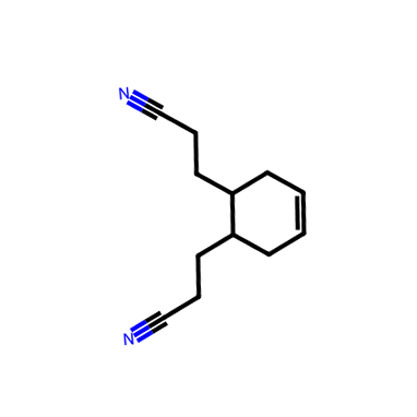 N#CCCC1CC=CCC1CCC#N